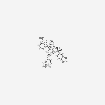 CC(C)(CCCO)CC(NS(=O)(=O)c1ccc2c(c1)OCO2)[C@H](O)[C@H](Cc1ccccc1)NC(=O)O[C@H]1CO[C@H]2OCC[C@H]21